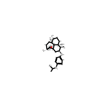 CC(F)Oc1ccc(O[C@H]2C[C@@H]3C[C@]4(C)CC[C@H]5[C@H](C)CC[C@@H]([C@H]2C)[C@@]35OO4)cc1